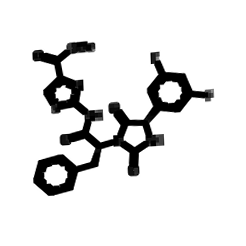 COC(=O)c1csc(NC(=O)[C@H](Cc2ccccc2)N2C(=O)N[C@H](c3cc(F)cc(F)c3)C2=O)n1